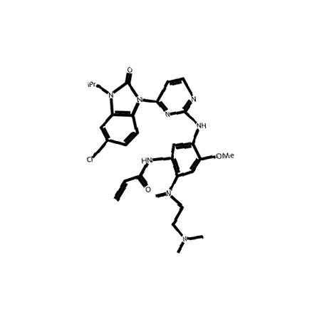 C=CC(=O)Nc1cc(Nc2nccc(-n3c(=O)n(C(C)C)c4cc(Cl)ccc43)n2)c(OC)cc1N(C)CCN(C)C